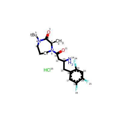 C[C@@H]1C(=O)N(C(C)(C)C)CCCN1C(=O)CC(N)Cc1cc(F)c(F)cc1F.Cl